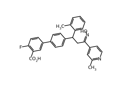 Cc1cc(/C(CC(c2ccc(-c3ccc(F)c(C(=O)O)c3)cc2)c2ccccc2C)=N/O)ccn1